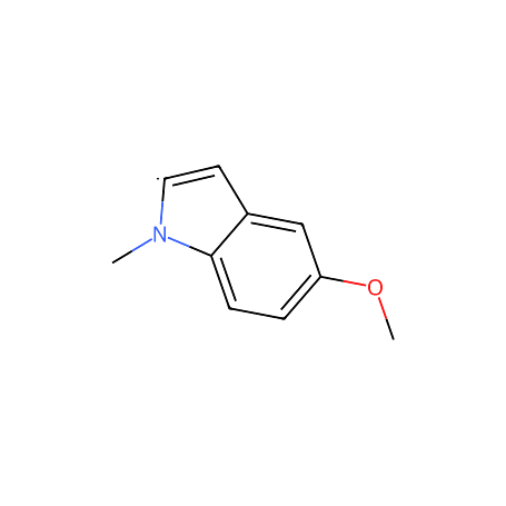 COc1ccc2c(c[c]n2C)c1